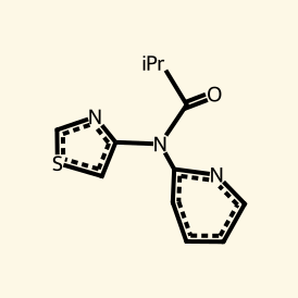 CC(C)C(=O)N(c1ccccn1)c1cscn1